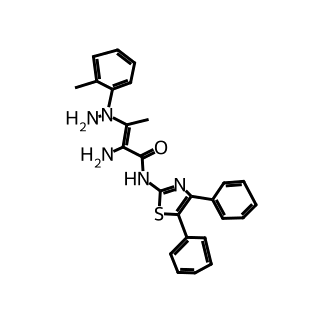 C/C(=C(/N)C(=O)Nc1nc(-c2ccccc2)c(-c2ccccc2)s1)N(N)c1ccccc1C